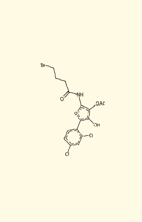 CC(=O)Oc1c(NC(=O)CCCBr)oc(-c2ccc(Cl)cc2Cl)c1O